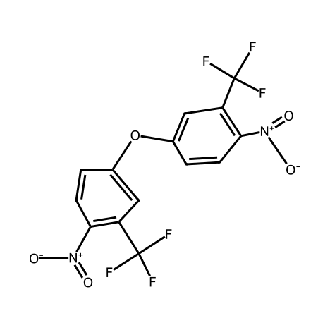 O=[N+]([O-])c1ccc(Oc2ccc([N+](=O)[O-])c(C(F)(F)F)c2)cc1C(F)(F)F